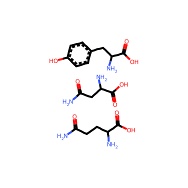 NC(=O)CC(N)C(=O)O.NC(=O)CCC(N)C(=O)O.NC(Cc1ccc(O)cc1)C(=O)O